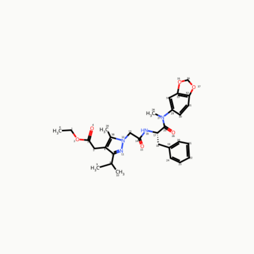 CCOC(=O)Cc1c(C(C)C)nn(CC(=O)N[C@@H](Cc2ccccc2)C(=O)N(C)c2ccc3c(c2)OCO3)c1C